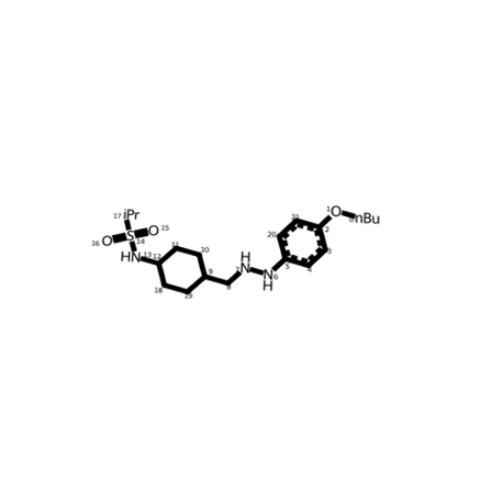 CCCCOc1ccc(NNCC2CCC(NS(=O)(=O)C(C)C)CC2)cc1